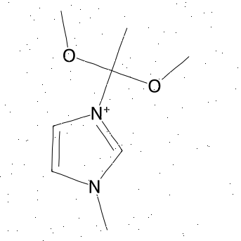 COC(C)(OC)[n+]1ccn(C)c1